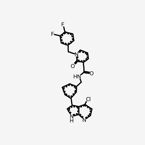 O=C(NCc1cccc(-c2c[nH]c3nccc(Cl)c23)c1)c1cccn(Cc2ccc(F)c(F)c2)c1=O